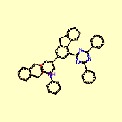 C(/C=C/Nc1ccccc1)=c1\cccc\c1=C\c1ccc(-c2cc3c(c(-c4nc(-c5ccccc5)nc(-c5ccccc5)n4)c2)-c2ccccc2C3)cc1